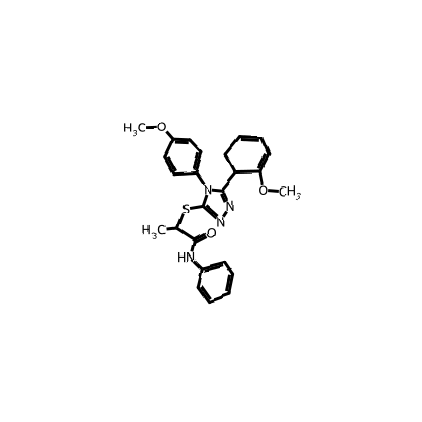 COC1=CC=CCC1c1nnc(SC(C)C(=O)Nc2ccccc2)n1-c1ccc(OC)cc1